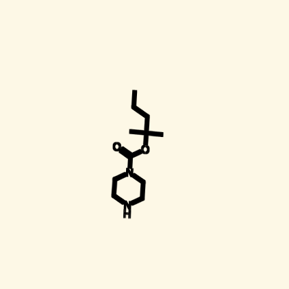 CCCC(C)(C)OC(=O)N1CCNCC1